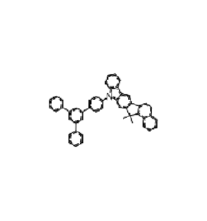 CC1(C)c2cc3c(cc2-c2ccc4ccccc4c21)c1ccccc1n3-c1ccc(-c2cc(-c3ccccc3)cc(-c3ccccc3)c2)cc1